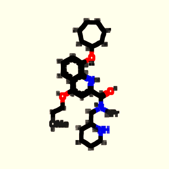 COCCOc1cc(C(=O)N(CC2CCCCN2)C(C)C)nc2c(OC3CCCCCC3)cccc12